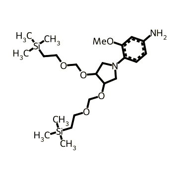 COc1cc(N)ccc1N1CC(OCOCC[Si](C)(C)C)C(OCOCC[Si](C)(C)C)C1